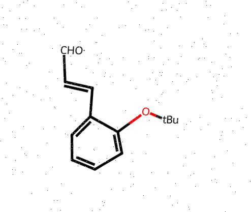 CC(C)(C)Oc1ccccc1C=C[C]=O